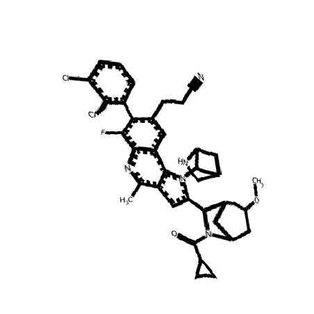 COC1CC2CC1C(c1cc3c(C)nc4c(F)c(-c5cccc(Cl)c5Cl)c(CCC#N)cc4c3n1C1C3CNC1C3)N2C(=O)C1CC1